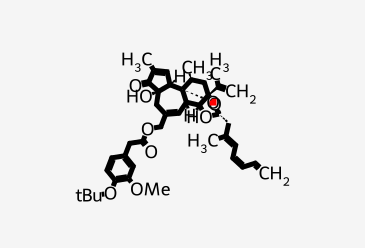 C=C/C=C\C=C(/C)C[C@]12O[C@@H]3[C@@H]4C=C(COC(=O)Cc5ccc(OC(C)(C)C)c(OC)c5)C[C@]5(O)C(=O)C(C)=C[C@H]5[C@@]4(O1)[C@H](C)C[C@]3(C(=C)C)O2